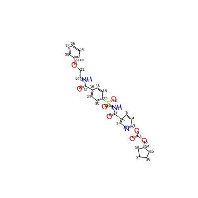 O=C(Oc1ccc(C(=O)NS(=O)(=O)c2ccc(C(=O)NCCOc3ccccc3)cc2)cn1)OC1CCCC1